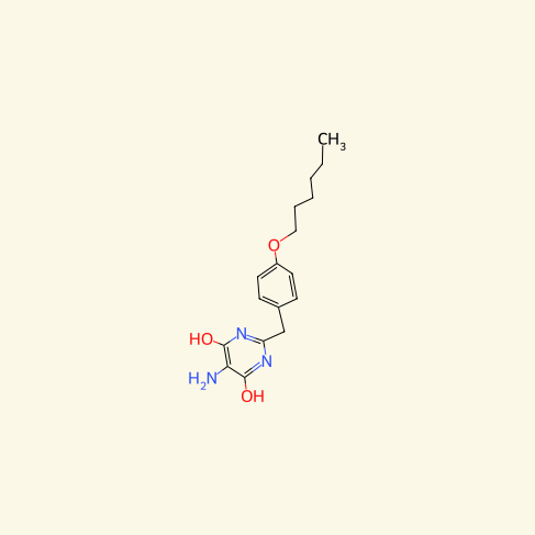 CCCCCCOc1ccc(Cc2nc(O)c(N)c(O)n2)cc1